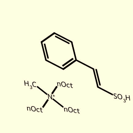 CCCCCCCC[N+](C)(CCCCCCCC)CCCCCCCC.O=S(=O)(O)C=Cc1ccccc1